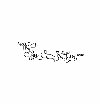 COC(=O)N[C@H](C(=O)N1[C@@H](C)CC[C@H]1c1nc2ccc3cc4c(cc3c2[nH]1)OCc1cc(-c2cnc([C@@H]3CCCN3C(=O)[C@H](NC(=O)OC)c3ccccc3)[nH]2)ccc1-4)C(C)C